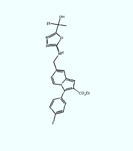 CCOC(=O)c1cc2cc(CNc3nnc(C(C)(O)CC)o3)ccn2c1-c1ccc(F)cc1